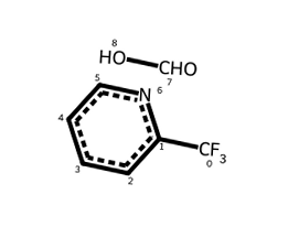 FC(F)(F)c1ccccn1.O=CO